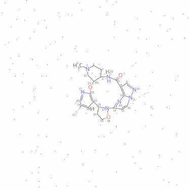 CN1CC[C@H]2NC(=O)c3cnn4ccc(nc34)N3OCC[C@H]3c3cc(F)cnc3OC2C1